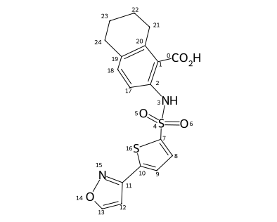 O=C(O)c1c(NS(=O)(=O)c2ccc(-c3ccon3)s2)ccc2c1CCCC2